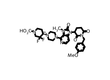 COc1ccc(CN2C(=O)CCC(n3c(=O)n(C)c4c(N5CCN([C@@H]6CCN(C(=O)O)CC6(F)F)CC5)nccc43)C2=O)cc1